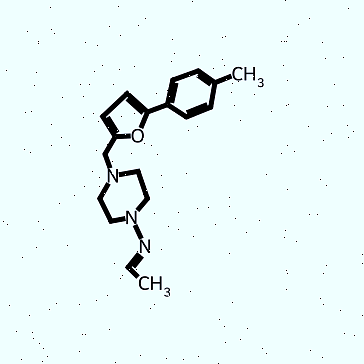 C/C=N/N1CCN(Cc2ccc(-c3ccc(C)cc3)o2)CC1